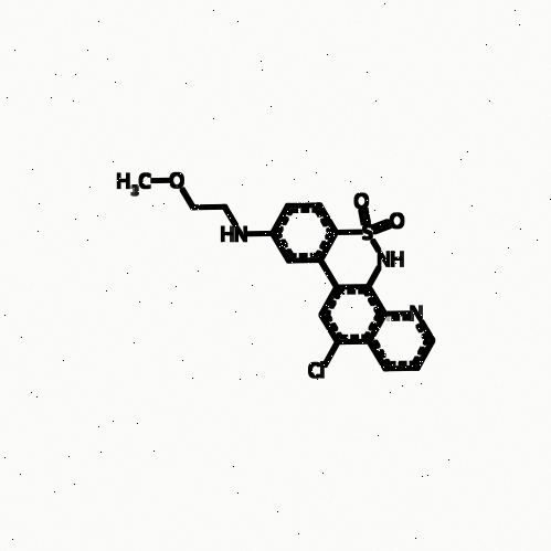 COCCNc1ccc2c(c1)-c1cc(Cl)c3cccnc3c1NS2(=O)=O